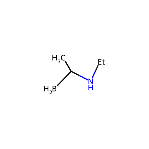 BC(C)NCC